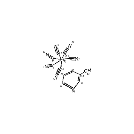 N#[C][Fe]([C]#N)([C]#N)([C]#N)([C]#N)[C]#N.Oc1ccccc1